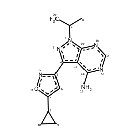 CC(n1nc(-c2cc(C3CC3)on2)c2c(N)ncnc21)C(F)(F)F